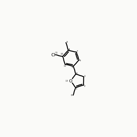 CC1=CCC(c2ccc(C)c(Cl)c2)O1